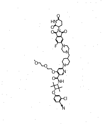 COCCOCCOc1cc(N2CCC(CN3CCN(c4cc5c(cc4F)C(=O)N(C4CCC(=O)NC4=O)C5=O)CC3)CC2)ncc1C(=O)N[C@H]1C(C)(C)[C@H](Oc2ccc(C#N)c(Cl)c2)C1(C)C